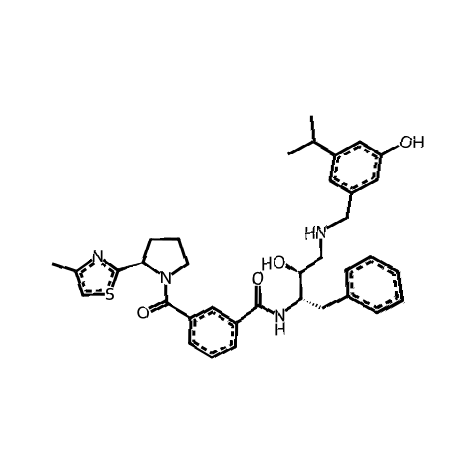 Cc1csc([C@H]2CCCN2C(=O)c2cccc(C(=O)N[C@@H](Cc3ccccc3)[C@@H](O)CNCc3cc(O)cc(C(C)C)c3)c2)n1